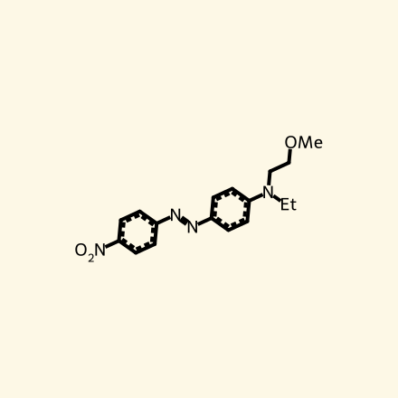 CCN(CCOC)c1ccc(N=Nc2ccc([N+](=O)[O-])cc2)cc1